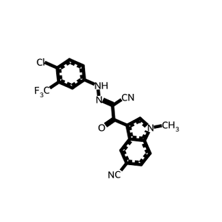 Cn1cc(C(=O)/C(C#N)=N/Nc2ccc(Cl)c(C(F)(F)F)c2)c2cc(C#N)ccc21